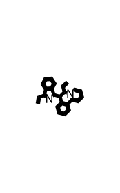 C=CC1=NC(C2c3ccccc3-c3cccc[n+]3C2C=C)c2ccccc21